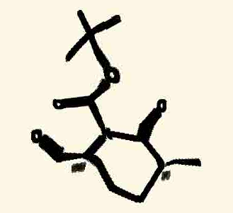 C[C@@H]1CC[C@@H](C=O)N(C(=O)OC(C)(C)C)C1=O